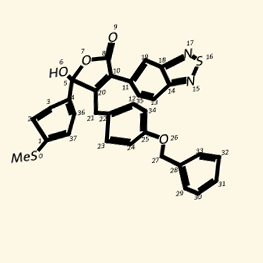 CSc1ccc(C2(O)OC(=O)C(c3ccc4nsnc4c3)=C2Cc2ccc(OCc3ccccc3)cc2)cc1